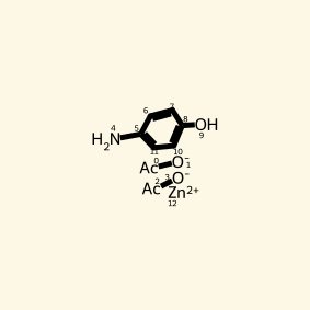 CC(=O)[O-].CC(=O)[O-].Nc1ccc(O)cc1.[Zn+2]